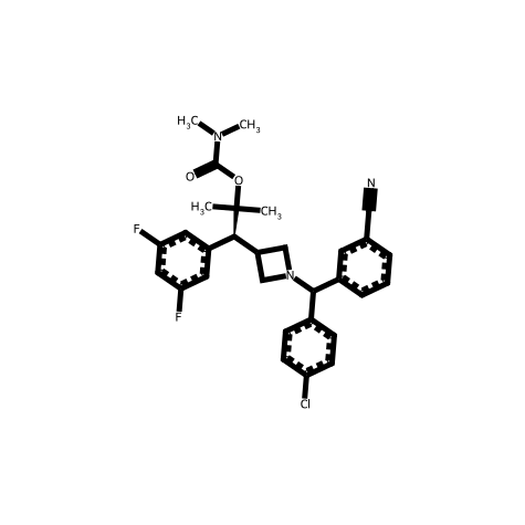 CN(C)C(=O)OC(C)(C)[C@H](c1cc(F)cc(F)c1)C1CN(C(c2ccc(Cl)cc2)c2cccc(C#N)c2)C1